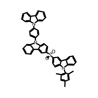 Cc1cc(C)c(-n2c3ccccc3c3cc(S(=O)(=O)c4ccc5c(c4)c4ccccc4n5-c4ccc(-n5c6ccccc6c6ccccc65)cc4)ccc32)c(C)c1